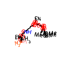 CC[C@H]1O[C@@H](BP)[C@@H](C)C1OC(=O)CCC(=O)NCCCCCCOP(=O)(OCCC#N)OCCOCCOP(=O)(OCCC#N)OCCC[Si](OC)(OC)OC